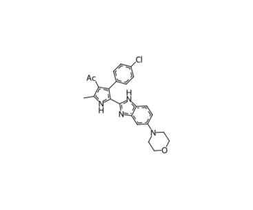 CC(=O)c1c(C)[nH]c(-c2nc3cc(N4CCOCC4)ccc3[nH]2)c1-c1ccc(Cl)cc1